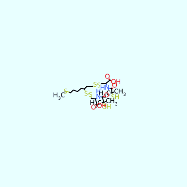 CSCCCCC(CCSSCC(NC(=O)C(C)(C)S)C(=O)O)SSCC(NC(=O)C(C)(C)S)C(=O)O